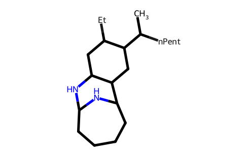 CCCCCC(C)C1CC2C3CCCCC(N3)NC2CC1CC